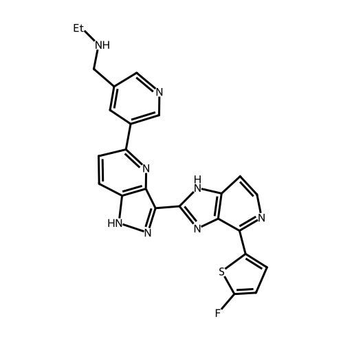 CCNCc1cncc(-c2ccc3[nH]nc(-c4nc5c(-c6ccc(F)s6)nccc5[nH]4)c3n2)c1